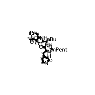 CCCCCC(=O)NC(Cc1ccncc1)C(=O)NC(CCCC)C(=O)NC(CC(C)C)C(=O)C1(C)CO1